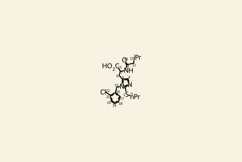 CCCSc1ncc(CC(NC(=O)CC(C)C)C(=O)O)n1Cc1ccccc1Cl